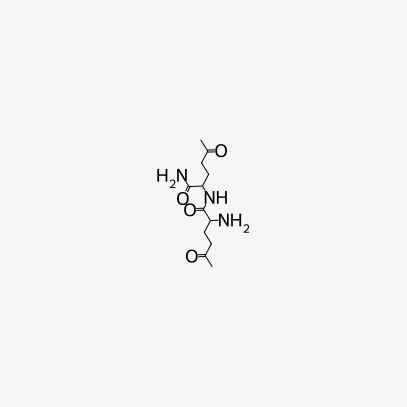 CC(=O)CCC(N)C(=O)NC(CCC(C)=O)C(N)=O